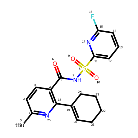 CC(C)(C)c1ccc(C(=O)NS(=O)(=O)c2cccc(F)n2)c(C2=CCCCC2)n1